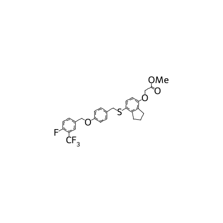 COC(=O)COc1ccc(SCc2ccc(OCc3ccc(F)c(C(F)(F)F)c3)cc2)c2c1CCC2